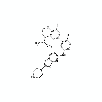 CC(C)N1CCOc2c(F)cc(-c3nc(Nc4ccc5cc(C6CCNCC6)sc5n4)ncc3F)cc21